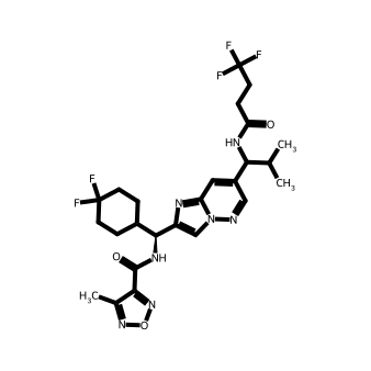 Cc1nonc1C(=O)N[C@H](c1cn2ncc(C(NC(=O)CCC(F)(F)F)C(C)C)cc2n1)C1CCC(F)(F)CC1